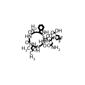 CC[C@H](C)[C@@H]1NC(=O)CNC(=O)[C@@H](N)Cc2c([nH]c3ccccc23)S[C@@H](C(=O)N[C@@H](CC(N)=O)C(=O)N2CC(F)(F)C[C@H]2C(=O)O)NC(=O)CNC1=O